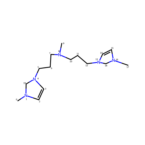 CN1C=CN(CCCN(C)CCCN2C=CN(C)C2)C1